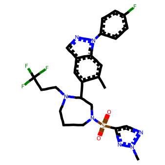 Cc1cc2c(cnn2-c2ccc(F)cc2)cc1C1CN(S(=O)(=O)c2cnn(C)n2)CCCN1CCC(F)(F)F